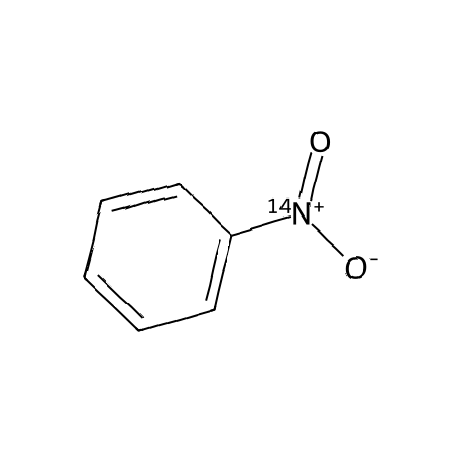 O=[14N+]([O-])c1ccccc1